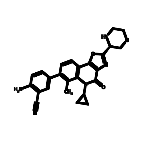 Cc1c(-c2ccc(N)c(C#N)c2)ccc2c3oc([C@@H]4COCCN4)nc3c(=O)n(C3CC3)c12